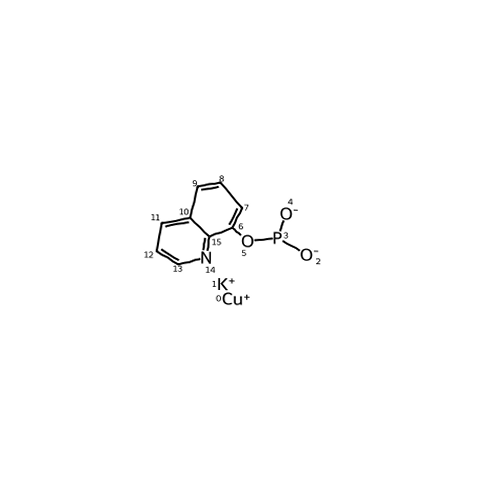 [Cu+].[K+].[O-]P([O-])Oc1cccc2cccnc12